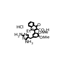 CCn1c(-c2cc(Cc3cnc(N)nc3N)cc(OC)c2OC)c(C(=O)O)c(=O)c2ccccc21.Cl